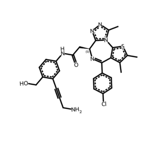 Cc1sc2c(c1C)C(c1ccc(Cl)cc1)=N[C@@H](CC(=O)Nc1ccc(CO)c(C#CCN)c1)c1nnc(C)n1-2